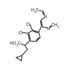 C=N/C(=C\N=C/C)c1ccc(C(CC2CC2)C(=O)O)c(Cl)c1Cl